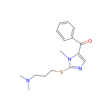 CN(C)CCCSc1ncc(C(=O)c2ccccc2)n1C